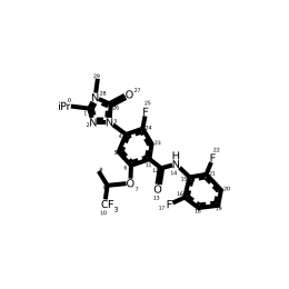 CC(C)c1nn(-c2cc(OC(C)C(F)(F)F)c(C(=O)Nc3c(F)cccc3F)cc2F)c(=O)n1C